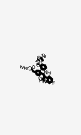 COC(=O)Cc1ccc(C(Nc2ccc(N(CC(=O)N(C)C)S(C)(=O)=O)cc2)=C2C(=O)Nc3cc(F)ccc32)cc1